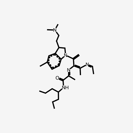 C=C(C(/N=C(\C)C(=O)NC(CCC)CCC)=C(C)\N=C/C)N1CC(CCN(C)C)c2cc(C)ccc21